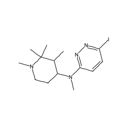 CC1C(N(C)c2ccc(I)nn2)CCN(C)C1(C)C